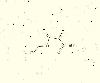 C=CCOC(=O)C(=O)C(=O)CCC